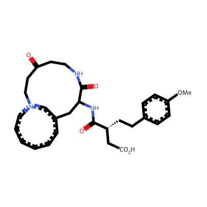 COc1ccc(CC[C@H](CC(=O)O)C(=O)NC2Cc3ccccccn(c3)CCC(=O)CCNC2=O)cc1